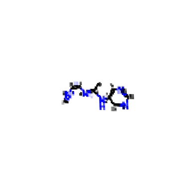 C#[N+]/C=C\N=C(/C)Nc1cncnc1